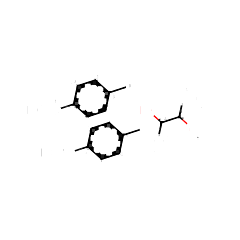 Cc1ccc(S(=O)(=O)O)cc1.Cc1ccc(S(=O)(=O)O)cc1.O=C(O)C(O)C(O)C(=O)O